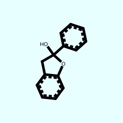 OC1(c2ccccc2)Cc2ccccc2O1